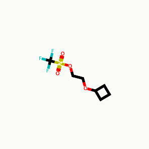 O=S(=O)(OCCOC1CCC1)C(F)(F)F